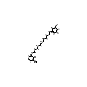 Brc1cccc(CCCCCCOCCCCCCc2cccc(Br)c2)c1